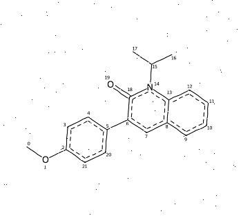 COc1ccc(-c2cc3ccccc3n(C(C)C)c2=O)cc1